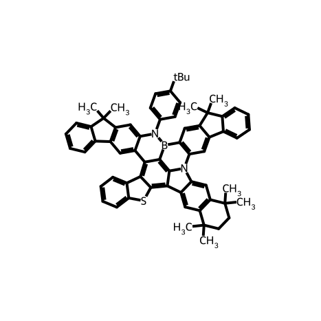 CC(C)(C)c1ccc(N2B3c4cc5c(cc4-n4c6cc7c(cc6c6c8sc9ccccc9c8c(c3c64)-c3cc4c(cc32)C(C)(C)c2ccccc2-4)C(C)(C)CCC7(C)C)-c2ccccc2C5(C)C)cc1